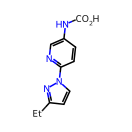 CCc1ccn(-c2ccc(NC(=O)O)cn2)n1